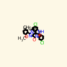 COc1ccc(C)cc1-c1nc2c(n1C(C)C)C1(C(=O)Nc3cc(Cl)ccc31)N(c1cc(Cl)ccc1C)C2=O